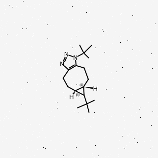 CC(C)(C)C1[C@H]2CCc3c(nnn3C(C)(C)C)CC[C@@H]12